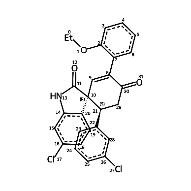 CCOc1ccccc1C1=C[C@]2(C(=O)Nc3cc(Cl)ccc32)[C@H](c2cccc(Cl)c2)CC1=O